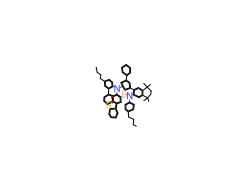 CCCCc1ccc(N2B3c4cc5c(cc4N(c4ccc(CCCC)cc4-c4ccccc4)c4cc(-c6ccccc6)cc(c43)-c3cc4c(cc32)C(C)(C)CCC4(C)C)sc2ccccc25)cc1